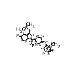 CN(C)CCCC1(c2ccc(F)cc2)OCc2cc(CC34CCC(CN3C)NC4)ccc21